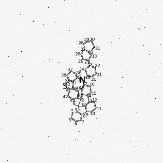 CC1(C)c2ccccc2-c2cccc(-c3ccc(N(c4cccc(-c5ccc6ccccc6c5)c4)c4cccc5sc6ccccc6c45)cc3)c21